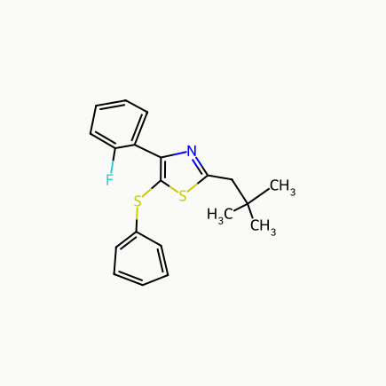 CC(C)(C)Cc1nc(-c2ccccc2F)c(Sc2ccccc2)s1